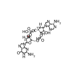 Nc1nc2c(ncn2[C@@H]2O[C@@]34CO[C@@H]2[C@@H]3OP(=O)(O)OCC23C[C@@H]2[C@@H](n2cnc5c(N)ncnc52)[C@H](O)[C@@H]3O[PH](=O)OC4)c(=O)[nH]1